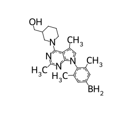 Bc1cc(C)c(-n2cc(C)c3c(N4CCCC(CO)C4)nc(C)nc32)c(C)c1